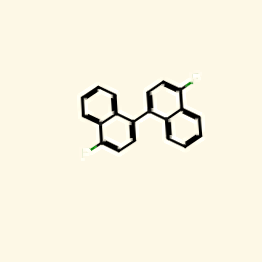 Fc1ccc(-c2ccc(F)c3ccccc23)c2ccccc12